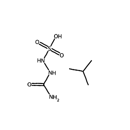 CC(C)C.NC(=O)NNS(=O)(=O)O